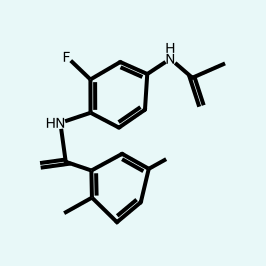 C=C(C)Nc1ccc(NC(=C)c2cc(C)ccc2C)c(F)c1